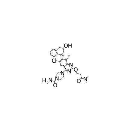 CN(C)C(=O)CCOc1nc(N2CCN(C(N)=O)CC2)c2cc(Cl)c([C@H]3C=C(O)Cc4ccccc43)c(F)c2n1